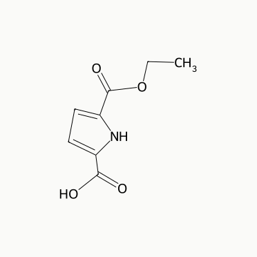 CCOC(=O)c1ccc(C(=O)O)[nH]1